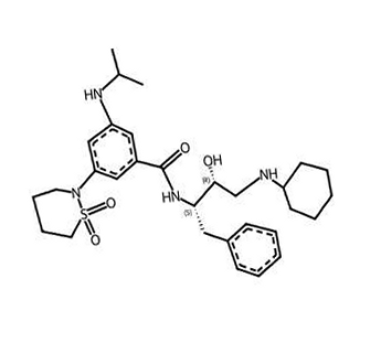 CC(C)Nc1cc(C(=O)N[C@@H](Cc2ccccc2)[C@H](O)CNC2CCCCC2)cc(N2CCCCS2(=O)=O)c1